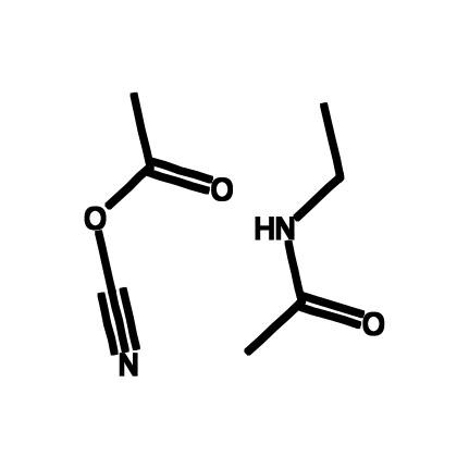 CC(=O)OC#N.CCNC(C)=O